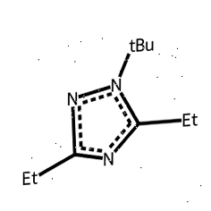 CCc1nc(CC)n(C(C)(C)C)n1